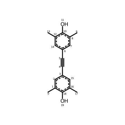 Cc1cc(C#Cc2cc(C)c(O)c(C)c2)cc(C)c1O